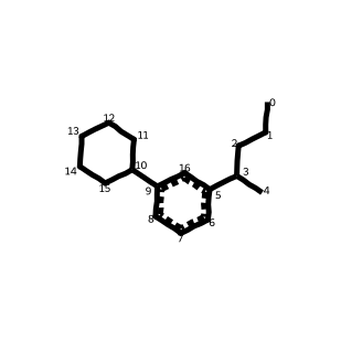 CCCC(C)c1cccc(C2CCCCC2)c1